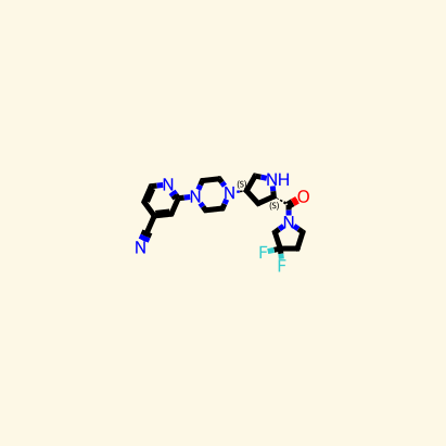 N#Cc1ccnc(N2CCN([C@@H]3CN[C@H](C(=O)N4CCC(F)(F)C4)C3)CC2)c1